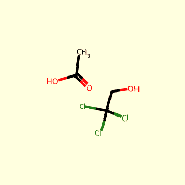 CC(=O)O.OCC(Cl)(Cl)Cl